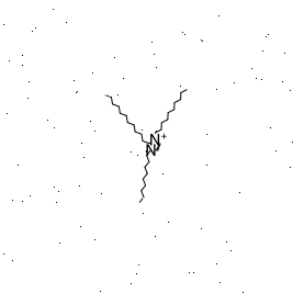 CCCCCCCCCCCc1n(CCCCCCCCC)cc[n+]1CCCCCCCCCC